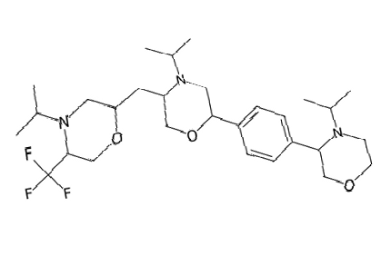 CC(C)N1CC(c2ccc(C3COCCN3C(C)C)cc2)OCC1CC1CN(C(C)C)C(C(F)(F)F)CO1